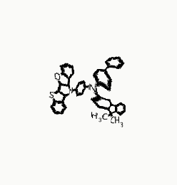 CC1(C)C2=CC=C(N(c3ccc(-c4ccccc4)cc3)c3ccc(N4C5c6ccccc6OC5C5Sc6ccccc6C54)cc3)CC2c2ccccc21